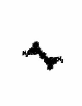 Cc1ccc(N(c2ccccc2)c2ccc(C=Cc3ccc(C=Cc4ccc(N(c5ccccc5)c5ccc(C)cc5C)cc4)cc3)cc2)c(C)c1